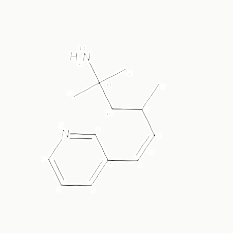 CC(/C=C\c1cccnc1)CC(C)(C)N